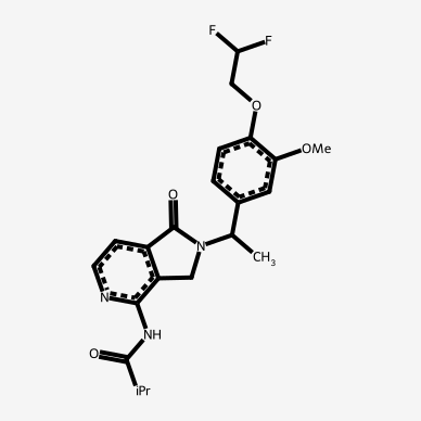 COc1cc(C(C)N2Cc3c(ccnc3NC(=O)C(C)C)C2=O)ccc1OCC(F)F